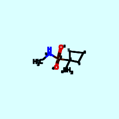 BC1(S(=O)(=O)NC)CCC1